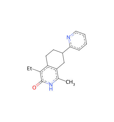 CCc1c2c(c(C)[nH]c1=O)CC(c1ccccn1)CC2